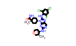 C[C@@H]1COCC[C@H]1Nc1ncc2nc(Nc3c(F)cc(Cl)cc3Cl)n([C@H]3CC[C@@](C)(C(N)=O)CC3)c2n1